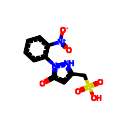 O=c1cc(CS(=O)(=O)O)[nH]n1-c1ccccc1[N+](=O)[O-]